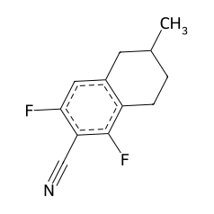 CC1CCc2c(cc(F)c(C#N)c2F)C1